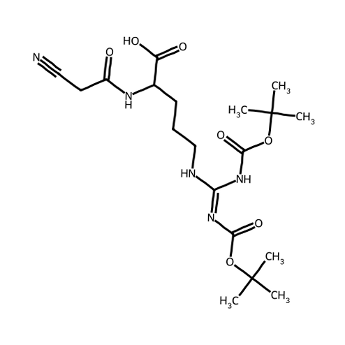 CC(C)(C)OC(=O)N=C(NCCCC(NC(=O)CC#N)C(=O)O)NC(=O)OC(C)(C)C